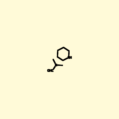 C1CCNCC1.CN(C)C=O